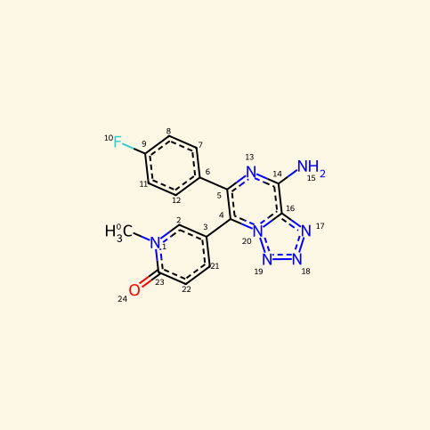 Cn1cc(-c2c(-c3ccc(F)cc3)nc(N)c3nnnn23)ccc1=O